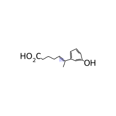 C/C(=C\CCCC(=O)O)c1cccc(O)c1